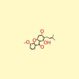 COc1cc2oc3c(OC)cccc3c(=O)c2c(O)c1CC=C(C)C